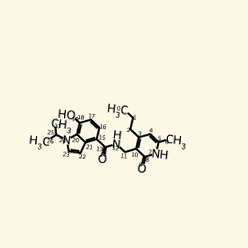 CCCc1cc(C)[nH]c(=O)c1CNC(=O)c1ccc(O)c2c1ccn2C(C)C